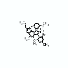 CCCc1cc2c(C)nc3c(-c4c(C)cc(C)cc4Br)c(C)nn3c2n1Cc1ccc(OC)cc1